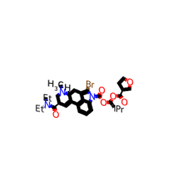 CCN(CC)C(=O)[C@@H]1C=C2c3cccc4c3c(c(Br)n4C(=O)OC(OC(=O)[C@H]3CCOC3)C(C)C)C[C@H]2N(C)C1